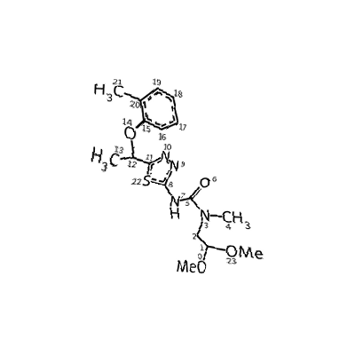 COC(CN(C)C(=O)Nc1nnc(C(C)Oc2ccccc2C)s1)OC